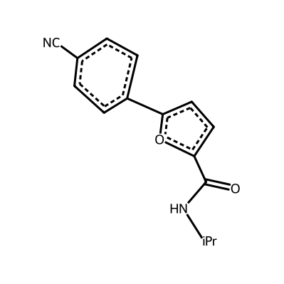 CC(C)NC(=O)c1ccc(-c2ccc(C#N)cc2)o1